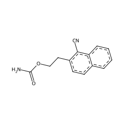 N#Cc1c(CCOC(N)=O)ccc2ccccc12